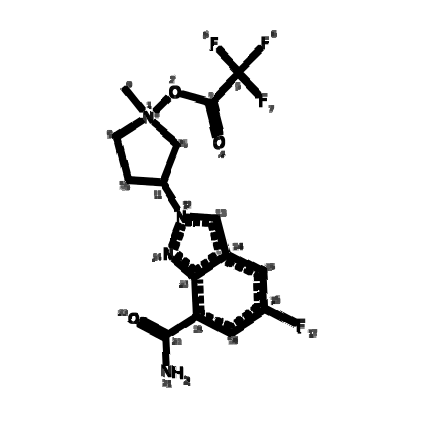 C[N+]1(OC(=O)C(F)(F)F)CCC(n2cc3cc(F)cc(C(N)=O)c3n2)C1